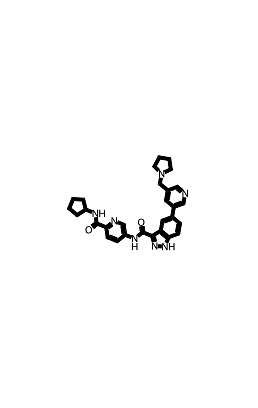 O=C(NC1CCCC1)c1ccc(NC(=O)c2n[nH]c3ccc(-c4cncc(CN5CCCC5)c4)cc23)cn1